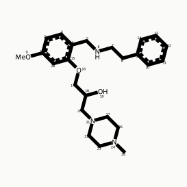 COc1ccc(CNCCc2ccccc2)c(OCC(O)CN2CCN(C)CC2)c1